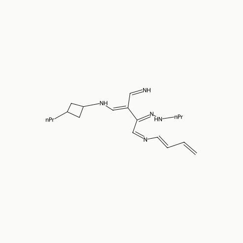 C=C/C=C/N=C\C(=N/NCCC)C(\C=N)=C\NC1CC(CCC)C1